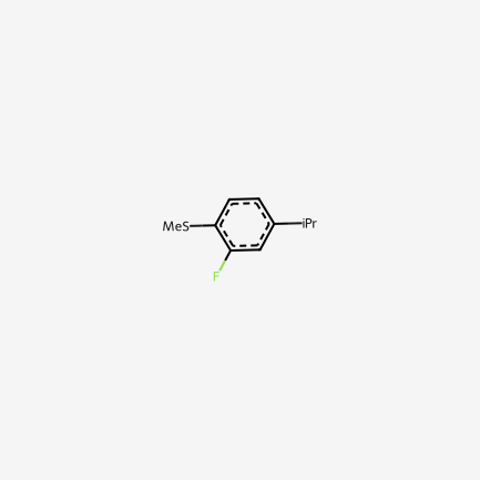 CSc1ccc(C(C)C)cc1F